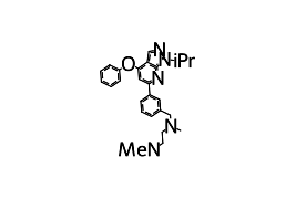 CNCCN(C)Cc1cccc(-c2cc(Oc3ccccc3)c3cnn(C(C)C)c3n2)c1